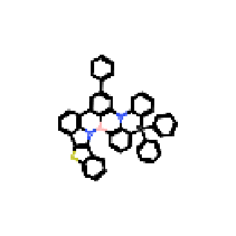 c1ccc(-c2cc3c4c(c2)N2c5ccccc5[Si](c5ccccc5)(c5ccccc5)c5cccc(c52)B4n2c4c-3cccc4c3sc4ccccc4c32)cc1